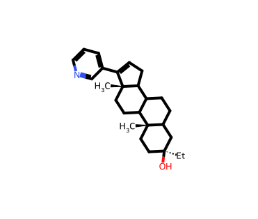 CC[C@]1(O)CC[C@@]2(C)C(CCC3C2CC[C@]2(C)C(c4cccnc4)=CCC32)C1